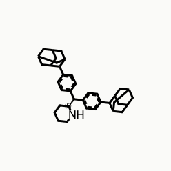 c1cc(C(c2ccc(C3C4CC5CC(C4)CC3C5)cc2)[C@@H]2CCCCN2)ccc1C1C2CC3CC(C2)CC1C3